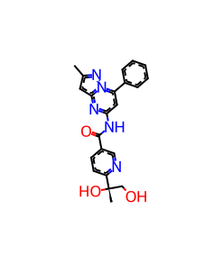 Cc1cc2nc(NC(=O)c3ccc([C@@](C)(O)CO)nc3)cc(-c3ccccc3)n2n1